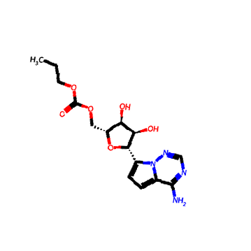 CCCOC(=O)OC[C@H]1O[C@@H](c2ccc3c(N)ncnn23)[C@H](O)[C@@H]1O